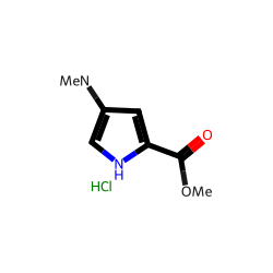 CNc1c[nH]c(C(=O)OC)c1.Cl